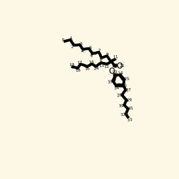 CCCCCCCCCCC(C)(CCCCCCCC)C(=O)Oc1ccc(CCCCCCC)cc1